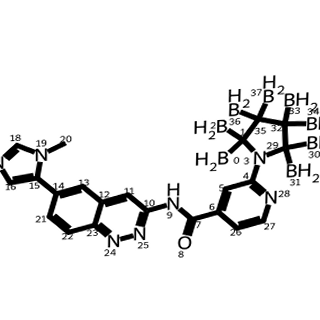 BC1(B)N(c2cc(C(=O)Nc3cc4cc(-c5cncn5C)ccc4nn3)ccn2)C(B)(B)C(B)(B)C1(B)B